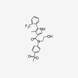 Cc1c(C(=O)N(CCO)c2ccc(S(C)(=O)=O)cc2)c[nH]c1-c1ccccc1C(F)(F)F